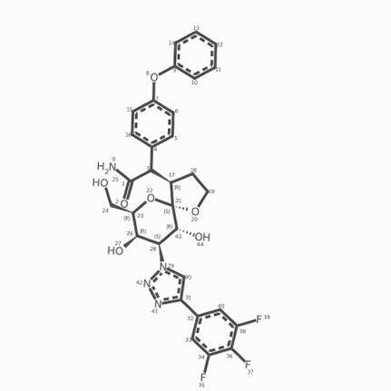 NC(=O)C(c1ccc(Oc2ccccc2)cc1)[C@H]1CCO[C@]12O[C@H](CO)[C@H](O)[C@H](n1cc(-c3cc(F)c(F)c(F)c3)nn1)[C@H]2O